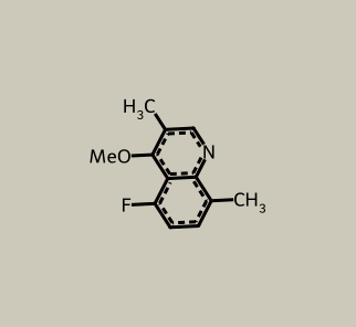 COc1c(C)cnc2c(C)ccc(F)c12